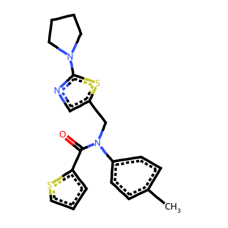 Cc1ccc(N(Cc2cnc(N3CCCC3)s2)C(=O)c2cccs2)cc1